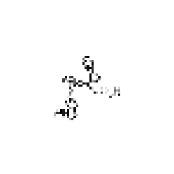 CC(=O)N(CCCc1ccc2c(n1)NCCC2)C1CC(C(CC(=O)O)c2cccc(N3CCOCC3)c2)C1